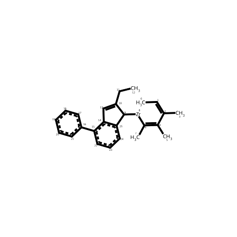 CC=C(C)C(C)=[C](C)[Zr][CH]1C(CC)=Cc2c(-c3ccccc3)cccc21